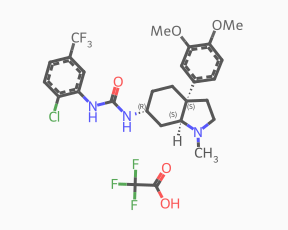 COc1ccc([C@@]23CC[C@@H](NC(=O)Nc4cc(C(F)(F)F)ccc4Cl)C[C@@H]2N(C)CC3)cc1OC.O=C(O)C(F)(F)F